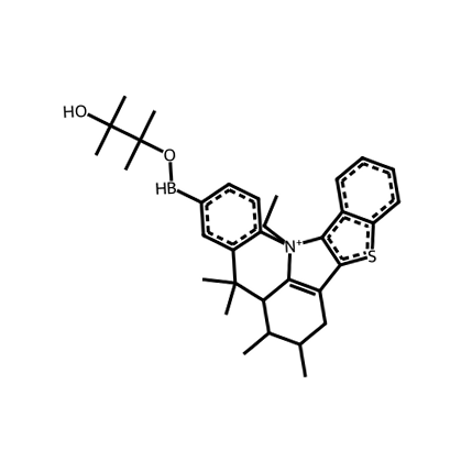 CC[N+]12C3=C(CC(C)C(C)C3C(C)(C)c3cc(BOC(C)(C)C(C)(C)O)ccc31)c1sc3ccccc3c12